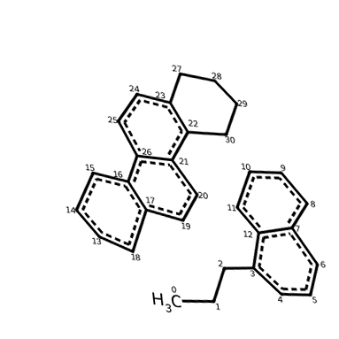 CCCc1cccc2ccccc12.c1ccc2c(c1)ccc1c3c(ccc12)CCCC3